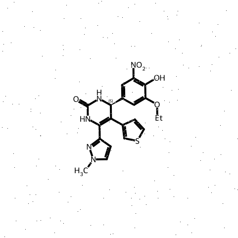 CCOc1cc([C@@H]2NC(=O)NC(c3ccn(C)n3)=C2c2ccsc2)cc([N+](=O)[O-])c1O